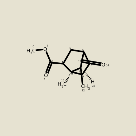 COC(=O)C1CC2CC[C@]1(C)[C@H](C)C2=O